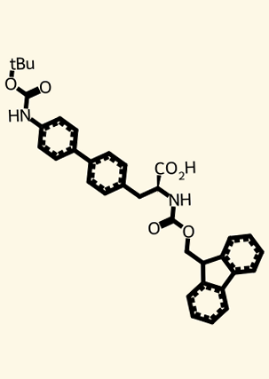 CC(C)(C)OC(=O)Nc1ccc(-c2ccc(C[C@H](NC(=O)OCC3c4ccccc4-c4ccccc43)C(=O)O)cc2)cc1